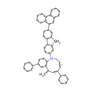 C=C1/C=C(c2ccccc2)\C=C/CN(c2ccc3c(c2)[SiH2]c2cc(-c4cc5ccccc5c5ccccc45)ccc2-3)c2ccc(-c3ccccc3)cc21